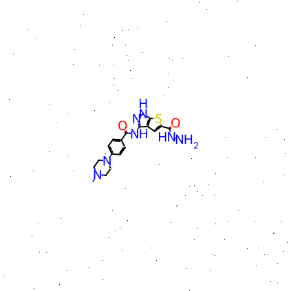 CN1CCN(c2ccc(C(=O)Nc3n[nH]c4sc(C(=O)NN)cc34)cc2)CC1